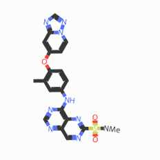 CNS(=O)(=O)c1ncc2ncnc(Nc3ccc(Oc4ccn5ncnc5c4)c(C)c3)c2n1